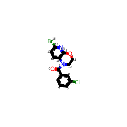 O=C(c1cccc(Cl)c1)N1CCOc2nc(Br)ccc21